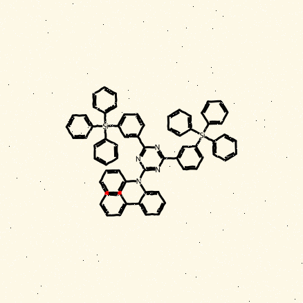 c1ccc(-c2ccccc2N(c2ccccc2)c2nc(-c3cccc([Si](c4ccccc4)(c4ccccc4)c4ccccc4)c3)nc(-c3cccc([Si](c4ccccc4)(c4ccccc4)c4ccccc4)c3)n2)cc1